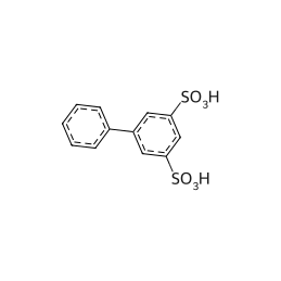 O=S(=O)(O)c1cc(-c2ccccc2)cc(S(=O)(=O)O)c1